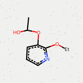 CCOc1ncccc1OC(C)O